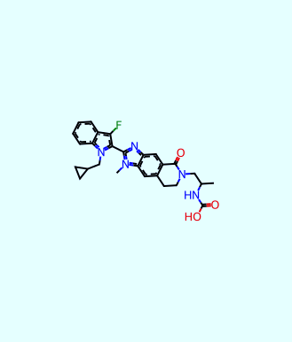 CC(CN1CCc2cc3c(cc2C1=O)nc(-c1c(F)c2ccccc2n1CC1CC1)n3C)NC(=O)O